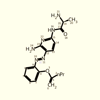 C=C(CCC)Oc1ccccc1/N=N/c1ccc(NC(=O)[C@H](C)N)nc1N